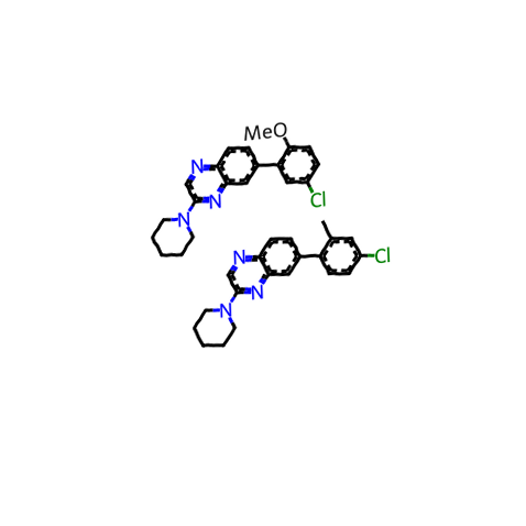 COc1ccc(Cl)cc1-c1ccc2ncc(N3CCCCC3)nc2c1.Cc1cc(Cl)ccc1-c1ccc2ncc(N3CCCCC3)nc2c1